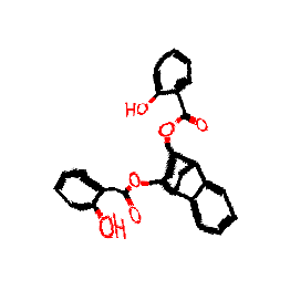 O=C(OC1C2CC(c3ccccc32)C1OC(=O)c1ccccc1O)c1ccccc1O